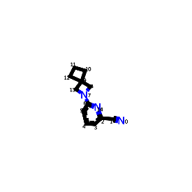 N#Cc1cccc(N2CC3(CCC3)C2)n1